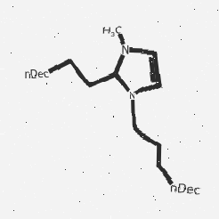 CCCCCCCCCCCCCN1C=CN(C)C1CCCCCCCCCCCC